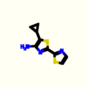 Nc1nc(-c2nccs2)sc1C1CC1